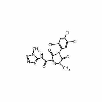 Cn1nnnc1NC(=O)c1nn(C)c(=O)n(-c2cc(Cl)c(Cl)cc2Cl)c1=O